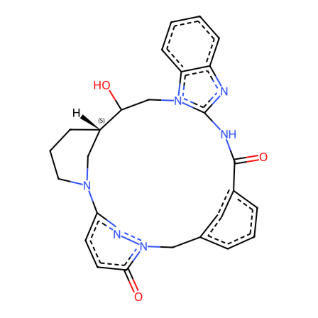 O=C1Nc2nc3ccccc3n2CC(O)[C@H]2CCCN(C2)c2ccc(=O)n(n2)Cc2cccc1c2